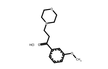 COc1cccc(C(=O)CCN2CCOCC2)c1.Cl